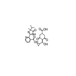 CC(C)C1(C)N=C(c2ncccc2C(=O)O)NC1=O.O=C1CC(C(=O)O)CC(=O)C1=C(O)C1CC1